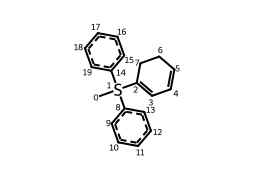 CS(C1=CC=CCC1)(c1ccccc1)c1ccccc1